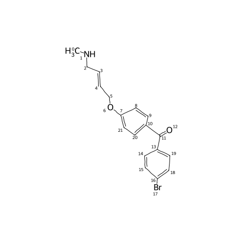 CNCC=CCOc1ccc(C(=O)c2ccc(Br)cc2)cc1